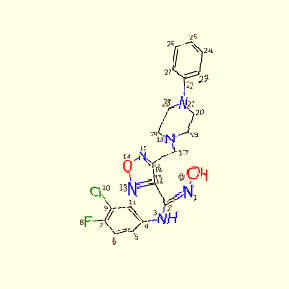 O/N=C(/Nc1ccc(F)c(Cl)c1)c1nonc1CN1CCN(c2ccccc2)CC1